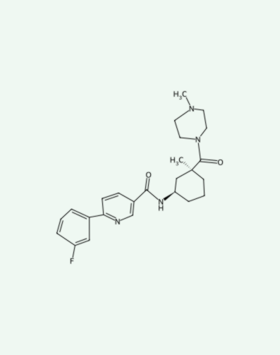 CN1CCN(C(=O)[C@@]2(C)CCC[C@@H](NC(=O)c3ccc(-c4cccc(F)c4)nc3)C2)CC1